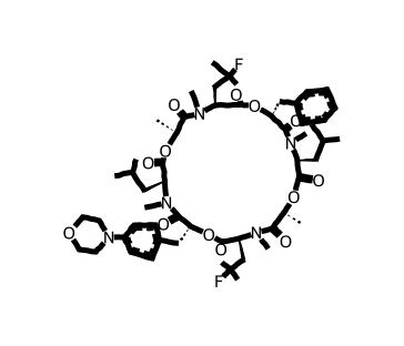 CC(C)C[C@H]1C(=O)O[C@H](C)C(=O)N(C)[C@@H](CC(C)(C)F)C(=O)O[C@H](Cc2ccc(N3CCOCC3)cc2)C(=O)N(C)[C@@H](CC(C)C)C(=O)O[C@H](C)C(=O)N(C)[C@@H](CC(C)(C)F)C(=O)O[C@H](Cc2ccccc2)C(=O)N1C